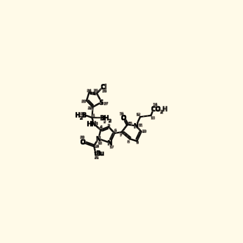 BC(B)(Nc1cc(-c2cccn(CCC(=O)O)c2=O)nn1C(=O)C(C)(C)C)c1ccc(Cl)s1